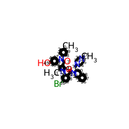 Cc1ccc(N(C(=O)c2cc(C)n(-c3cc(Br)ccc3C(=O)N3Cc4ccccc4C[C@H]3CN3CCN(C)CC3)c2)c2ccc(O)cc2)cc1